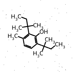 CCC(C)(C)c1ccc(C)c(C(C)(C)CC)c1O